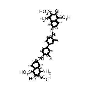 Cc1cc(-c2ccc(N=Nc3ccc4c(S(=O)(=O)O)c(O)c(S(=O)(=O)O)c(N)c4c3)c(C)c2)ccc1N=Nc1ccc2c(S(=O)(=O)O)c(O)c(S(=O)(=O)O)c(N)c2c1